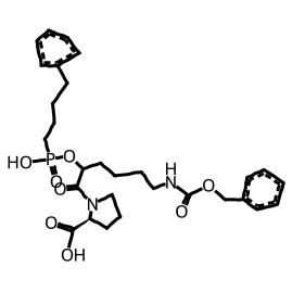 O=C(NCCCCC(OP(=O)(O)CCCCc1ccccc1)C(=O)N1CCC[C@H]1C(=O)O)OCc1ccccc1